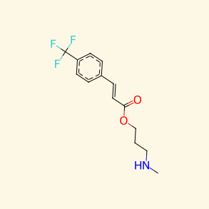 CNCCCOC(=O)/C=C/c1ccc(C(F)(F)F)cc1